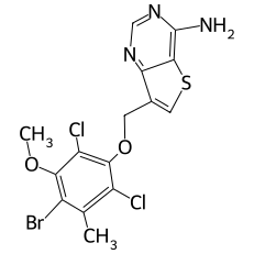 COc1c(Cl)c(OCc2csc3c(N)ncnc23)c(Cl)c(C)c1Br